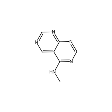 CNc1ncnc2ncncc12